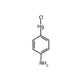 Nc1cc[c]([Hg][Cl])cc1